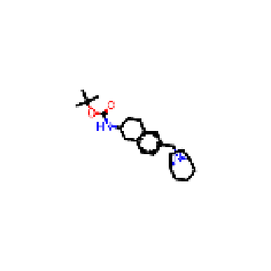 CC(C)(C)OC(=O)NC1CCc2cc(CN3C4CCCC3CC4)ccc2C1